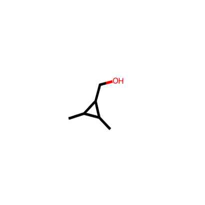 CC1C(C)C1CO